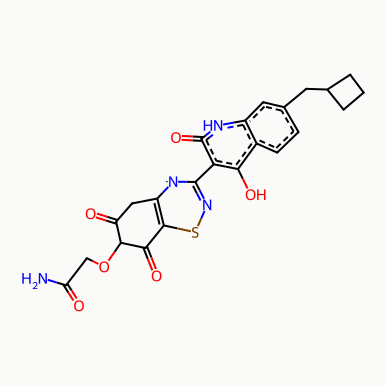 NC(=O)COC1C(=O)CC2=C(SN=C(c3c(O)c4ccc(CC5CCC5)cc4[nH]c3=O)[N]2)C1=O